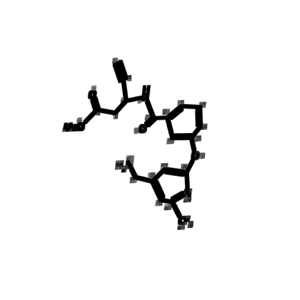 C#CC(CC(=O)OC)NC(=O)c1cccc(Oc2cc(CN)cc(C(F)(F)F)n2)c1